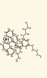 CCCCCc1cc(CCCCC)c(-c2cc3ccccc3c(-c3c(O)ccc4ccccc34)c2O)c(CCCCC)c1